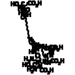 NCCN(CC(=O)O)CC(Cc1ccc(Nc2nc(N[C@@H](CCCCN(Cc3nccn3CC(=O)O)Cc3nccn3CC(=O)O)C(=O)O)nc(N3CCN(CCCCCCCCCCC(=O)NNC(=O)N[C@@H](CCC(=O)O)C(=O)O)CC3)n2)cc1)N(CCN)CC(=O)O